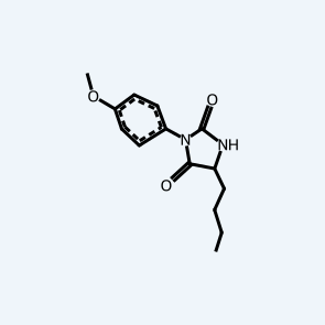 CCCCC1NC(=O)N(c2ccc(OC)cc2)C1=O